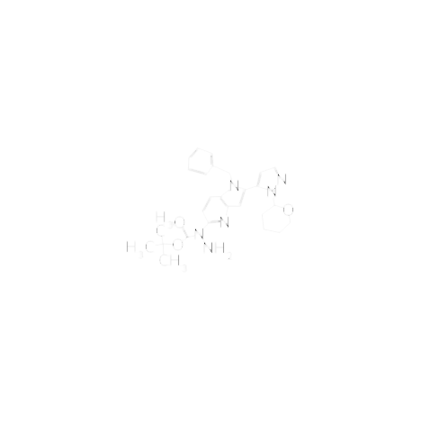 CC(C)(C)OC(=O)N(N)c1ccc2c(cc(-c3ccnn3C3CCCCO3)n2Cc2ccccc2)n1